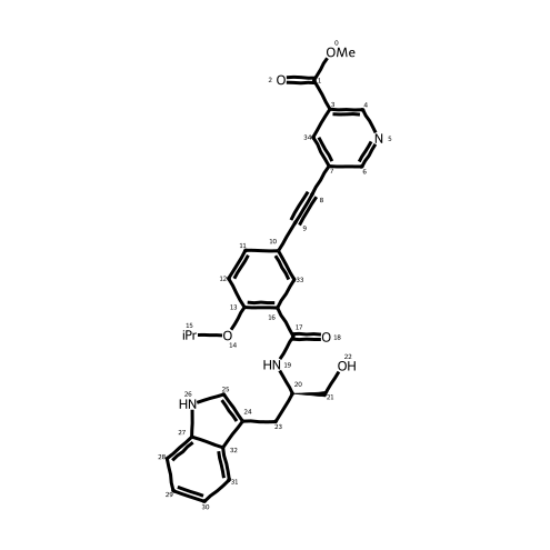 COC(=O)c1cncc(C#Cc2ccc(OC(C)C)c(C(=O)N[C@@H](CO)Cc3c[nH]c4ccccc34)c2)c1